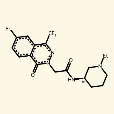 CCN1CCC[C@@H](NC(=O)Cn2nc(C(F)(F)F)c3cc(Br)ccc3c2=O)C1